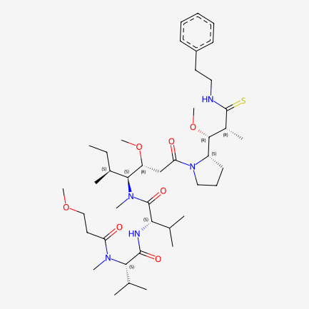 CC[C@H](C)[C@@H]([C@@H](CC(=O)N1CCC[C@H]1[C@H](OC)[C@@H](C)C(=S)NCCc1ccccc1)OC)N(C)C(=O)[C@@H](NC(=O)[C@H](C(C)C)N(C)C(=O)CCOC)C(C)C